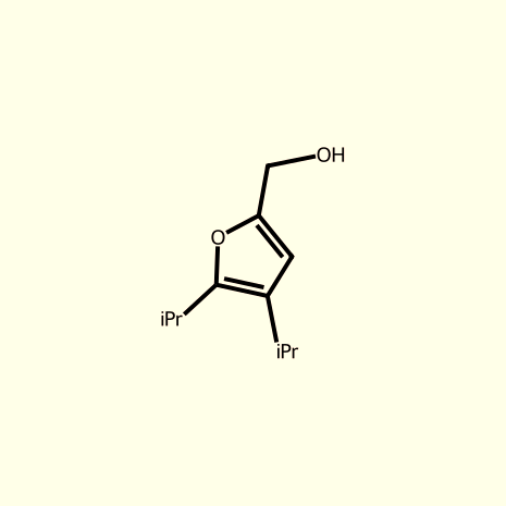 CC(C)c1cc(CO)oc1C(C)C